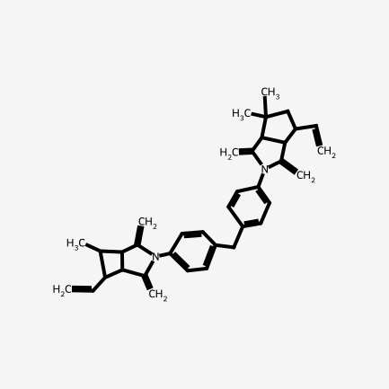 C=CC1CC(C)(C)C2C(=C)N(c3ccc(Cc4ccc(N5C(=C)C6C(C)C(C=C)C6C5=C)cc4)cc3)C(=C)C12